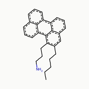 CCCCCc1cc2cccc3c4cccc5cccc(c(c1CCCN)c23)c54